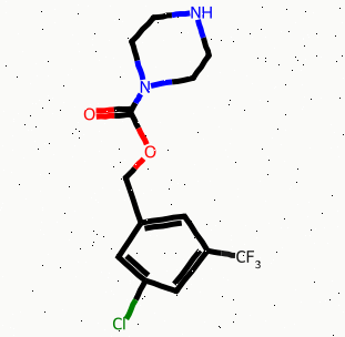 O=C(OCc1cc(Cl)cc(C(F)(F)F)c1)N1CCNCC1